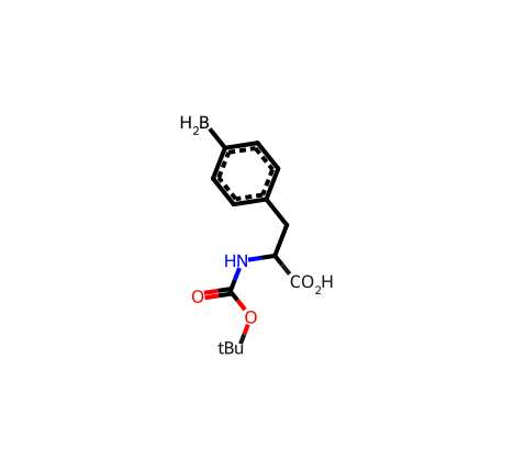 Bc1ccc(CC(NC(=O)OC(C)(C)C)C(=O)O)cc1